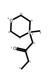 CCC(=O)CS1(C)CCOCC1